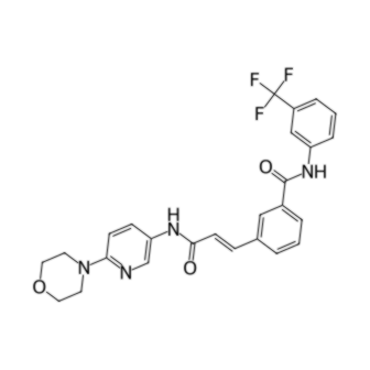 O=C(C=Cc1cccc(C(=O)Nc2cccc(C(F)(F)F)c2)c1)Nc1ccc(N2CCOCC2)nc1